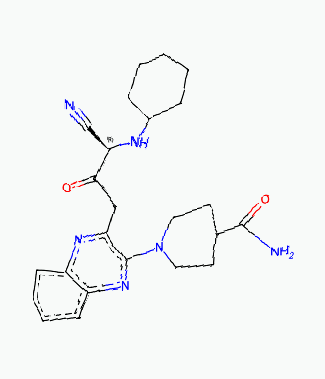 N#C[C@@H](NC1CCCCC1)C(=O)Cc1nc2ccccc2nc1N1CCC(C(N)=O)CC1